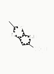 Cc1nc2cc(C(=O)O)[nH]c2[se]1